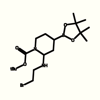 CC(C)(C)OC(=O)N1CCC(B2OC(C)(C)C(C)(C)O2)CC1NCCBr